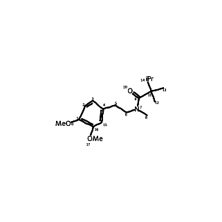 COc1ccc(CCN(C)C(=O)C(C)(C)C(C)C)cc1OC